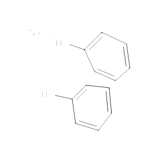 Oc1ccccc1.Oc1ccccc1.[Na+].[OH-]